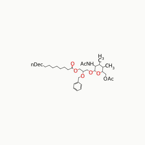 CCCCCCCCCCCCCCCCCC(=O)OCC(COC1OC(COC(C)=O)C(C)C(C)C1NC(C)=O)OCc1ccccc1